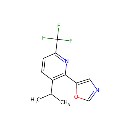 CC(C)c1ccc(C(F)(F)F)nc1-c1cnco1